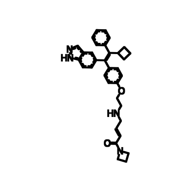 O=C(C=CCNCCOc1ccc(C(=C(c2ccccc2)C2CCC2)c2ccc3[nH]ncc3c2)cc1)N1CCC1